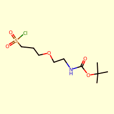 CC(C)(C)OC(=O)NCCOCCCS(=O)(=O)Cl